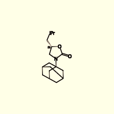 CC(C)C[C@H]1CN(C23CC4CC(CC(C4)C2)C3)C(=O)O1